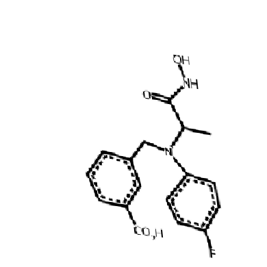 CC(C(=O)NO)N(Cc1cccc(C(=O)O)c1)c1ccc(F)cc1